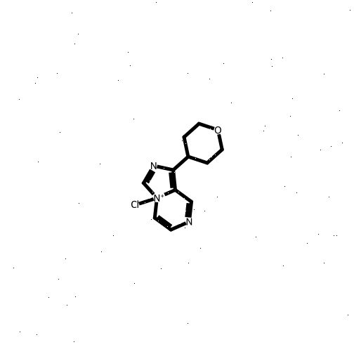 Cl[N+]12C=CN=CC1=C(C1CCOCC1)N=C2